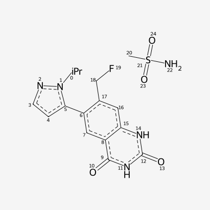 CC(C)n1nccc1-c1cc2c(=O)[nH]c(=O)[nH]c2cc1CF.CS(N)(=O)=O